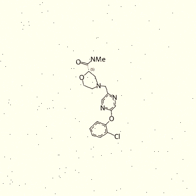 CNC(=O)[C@@H]1CN(Cc2cnc(Oc3ccccc3Cl)cn2)CCO1